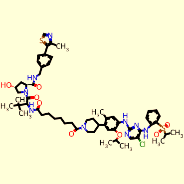 Cc1cc(Nc2ncc(Cl)c(Nc3ccccc3S(=O)(=O)C(C)C)n2)c(OC(C)C)cc1C1CCN(C(=O)CCCCCCC(=O)NC(C(=O)N2C[C@H](O)C[C@H]2C(=O)NCc2ccc(-c3scnc3C)cc2)C(C)(C)C)CC1